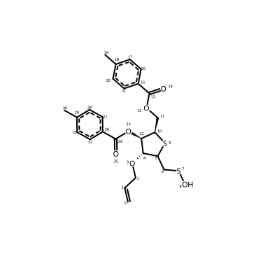 C=CCO[C@H]1C(CSO)S[C@H](COC(=O)c2ccc(C)cc2)[C@@H]1OC(=O)c1ccc(C)cc1